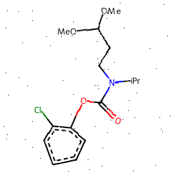 COC(CCN(C(=O)Oc1ccccc1Cl)C(C)C)OC